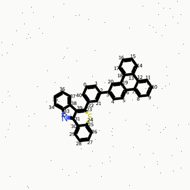 c1cc(-c2ccc3c4ccccc4c4ccccc4c3c2)cc(-c2sc3ccccc3c3nc4ccccc4c2-3)c1